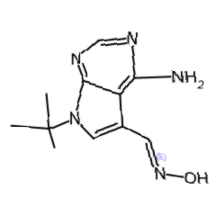 CC(C)(C)n1cc(/C=N/O)c2c(N)ncnc21